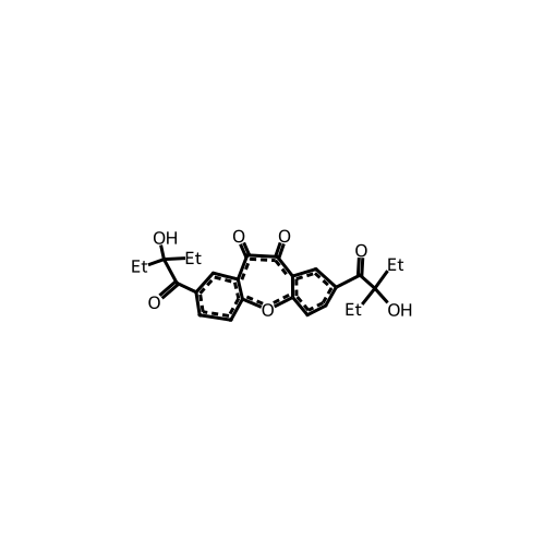 CCC(O)(CC)C(=O)c1ccc2oc3ccc(C(=O)C(O)(CC)CC)cc3c(=O)c(=O)c2c1